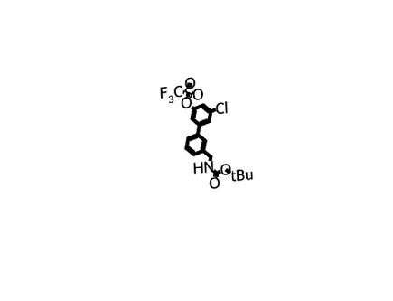 CC(C)(C)OC(=O)NCc1cccc(-c2cc(Cl)cc(OS(=O)(=O)C(F)(F)F)c2)c1